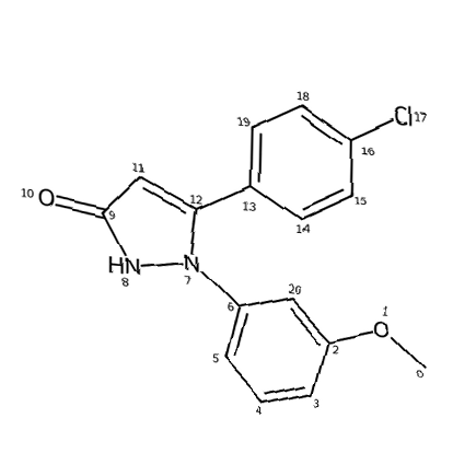 COc1cccc(-n2[nH]c(=O)cc2-c2ccc(Cl)cc2)c1